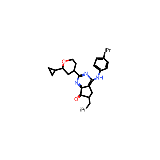 CC(C)CC1Cc2c(Nc3ccc(C(C)C)cc3)nc(C3CCOC(C4CC4)C3)nc2C1=O